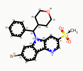 CS(=O)(=O)c1cnc2c3ccc(Br)cc3n(C(c3ccccc3)C3CCOCC3)c2c1